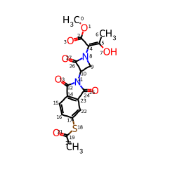 COC(=O)C(=C(C)O)N1CC(N2C(=O)c3ccc(SC(C)=O)cc3C2=O)C1=O